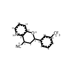 N#CC1CC(c2cccc(C(F)(F)F)c2)Oc2cccnc21